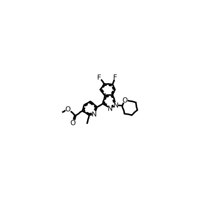 COC(=O)c1ccc(-c2nn(C3CCCCO3)c3cc(F)c(F)cc23)nc1C